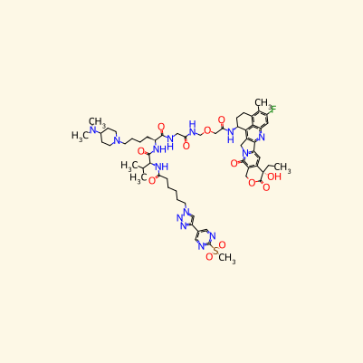 CC[C@@]1(O)C(=O)OCc2c1cc1n(c2=O)Cc2c-1nc1cc(F)c(C)c3c1c2[C@@H](NC(=O)COCNC(=O)CNC(=O)[C@H](CCCCN1CCC(N(C)C)CC1)NC(=O)[C@@H](NC(=O)CCCCCn1cc(-c2cnc(S(C)(=O)=O)nc2)nn1)C(C)C)CC3